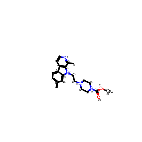 Cc1ccc2c3ccnc(C)c3n(CCN3CCN(C(=O)OC(C)(C)C)CC3)c2c1